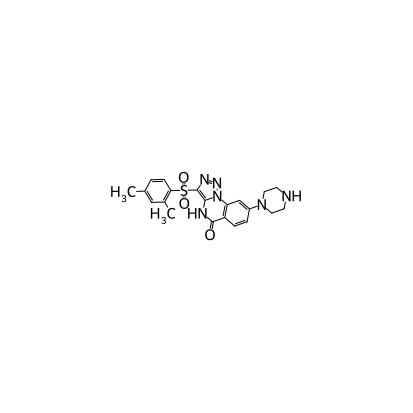 Cc1ccc(S(=O)(=O)c2nnn3c2[nH]c(=O)c2ccc(N4CCNCC4)cc23)c(C)c1